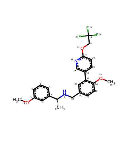 COc1cccc([C@@H](C)NCc2ccc(OC)c(-c3ccc(OCC(F)(F)F)nc3)c2)c1